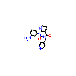 Nc1cccc(-n2c(=O)n(Cc3ccncc3)c(=O)c3cccnc32)c1